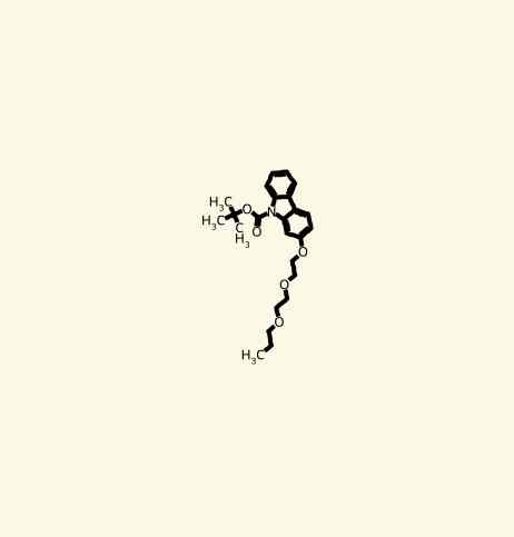 CCCOCCOCCOc1ccc2c3ccccc3n(C(=O)OC(C)(C)C)c2c1